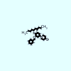 CCCCCCCCCC.O=C1CCN(c2cc(F)c(F)c(OCc3ccccc3)c2)CC1